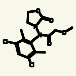 COCC(=O)N(c1c(C)c(Cl)cc(Cl)c1C)N1CCOC1=O